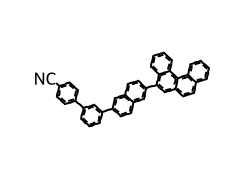 N#Cc1ccc(-c2cccc(-c3ccc4cc(-c5cc6ccc7ccccc7c6c6ccccc56)ccc4c3)c2)cc1